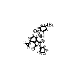 CC(C)(C)c1ccc([S+]([O-])Nc2ccc(C3CC3)c3c2C(=O)N(c2cccnc2)C3=O)cc1